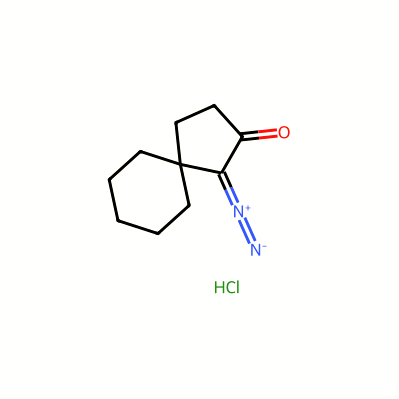 Cl.[N-]=[N+]=C1C(=O)CCC12CCCCC2